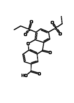 CCS(=O)(=O)c1cc(S(=O)(=O)CC)c2oc3ccc(C(=O)O)cc3c(=O)c2c1